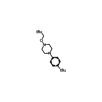 CC(C)(C)CON1CCN(c2ccc(C(C)(C)C)cc2)CC1